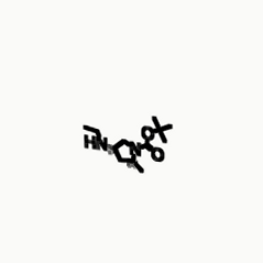 CCN[C@H]1C[C@H](C)N(C(=O)OC(C)(C)C)C1